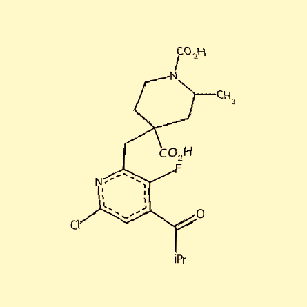 CC(C)C(=O)c1cc(Cl)nc(CC2(C(=O)O)CCN(C(=O)O)C(C)C2)c1F